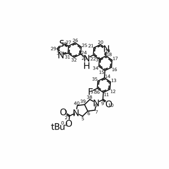 CC(C)(C)OC(=O)N1CC2CN(C(=O)c3ccc(-c4ccc5nccc(Nc6ccc7scnc7c6)c5c4)cc3F)CC2C1